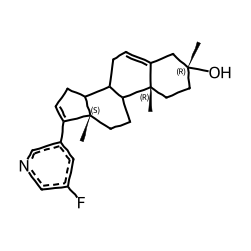 C[C@@]1(O)CC[C@@]2(C)C(=CCC3C2CC[C@]2(C)C(c4cncc(F)c4)=CCC32)C1